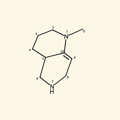 CN1CCCC2CNCC=C21